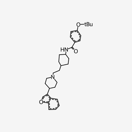 CC(C)(C)Oc1ccc(C(=O)NC2CCC(CCN3CCC(c4coc5ccccc45)CC3)CC2)cc1